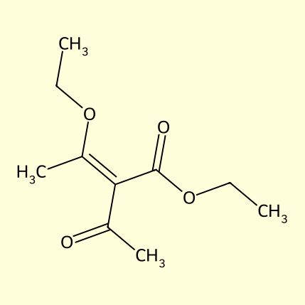 CCOC(=O)/C(C(C)=O)=C(/C)OCC